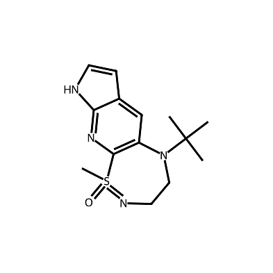 CC(C)(C)N1CCN=S(C)(=O)c2nc3[nH]ccc3cc21